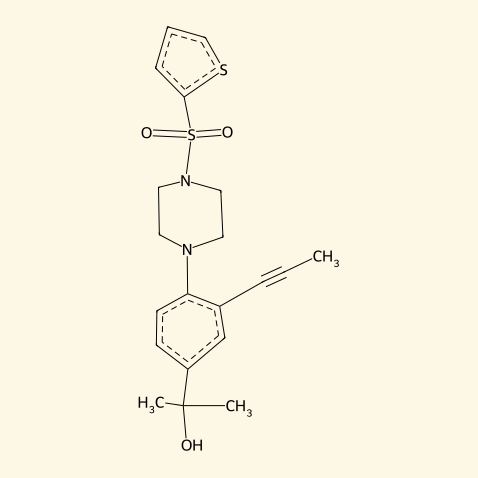 CC#Cc1cc(C(C)(C)O)ccc1N1CCN(S(=O)(=O)c2cccs2)CC1